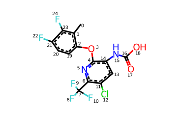 Cc1c(Oc2nc(C(F)(F)F)c(Cl)cc2NC(=O)O)ccc(F)c1F